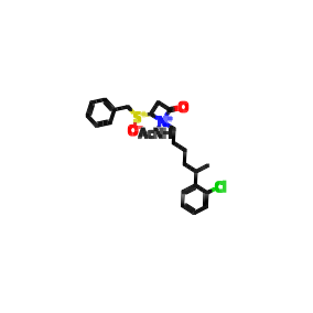 CC(=O)N[N+]1(CCCCC(C)c2ccccc2Cl)C(=O)CC1[S+]([O-])Cc1ccccc1